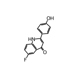 O=c1cc(-c2ccc(O)cc2)[nH]c2ccc(F)cc12